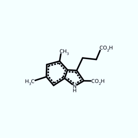 Cc1cc(C)c2c(CCC(=O)O)c(C(=O)O)[nH]c2c1